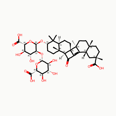 CC1(C)[C@@H](O[C@@H]2O[C@@H](C(=O)O)[C@H](O)[C@@H](O)[C@@H]2O[C@H]2O[C@@H](C(=O)O)[C@H](O)[C@@H](O)[C@@H]2O)CC[C@]2(C)[C@@H]1CC[C@]13C(=C4[C@H]5C[C@@](C)(C(=O)O)CC[C@@]5(C)CC[C@@]41C)C(=O)[C@@H]23